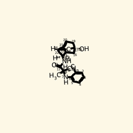 Cc1ccccc1NC(C)(C)C(=O)N[C@@H]1[C@@H]2C[C@]3(O)CC=C2[C@@H]1C3